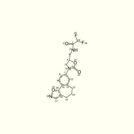 O=C(NCC1CN(c2ccc3c(c2)CCCc2cnoc2-3)C(=O)O1)C(F)F